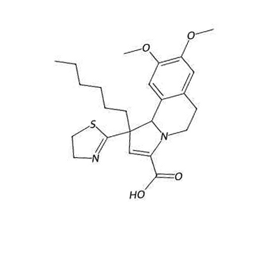 CCCCCCC1(C2=NCCS2)C=C(C(=O)O)N2CCc3cc(OC)c(OC)cc3C21